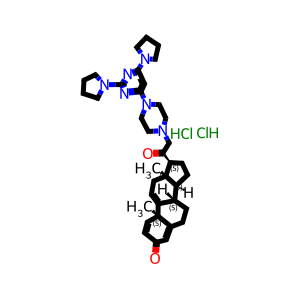 C[C@]12C=CC(=O)C=C1CC[C@@H]1C2=CC[C@]2(C)[C@@H](C(=O)CN3CCN(c4cc(N5CCCC5)nc(N5CCCC5)n4)CC3)CC[C@@H]12.Cl.Cl